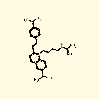 CN(C)c1ccc(C=Cc2ccc3cc(N(C)C)ccc3[n+]2CCCCNC(=N)N)cc1